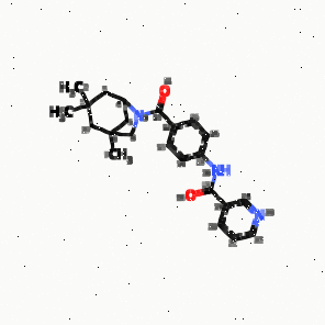 CC1(C)CC2CC(C)(CN2C(=O)c2ccc(NC(=O)c3cccnc3)cc2)C1